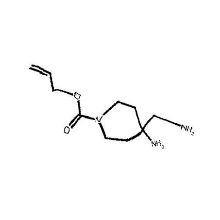 C=CCOC(=O)N1CCC(N)(CN)CC1